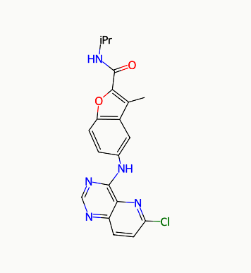 Cc1c(C(=O)NC(C)C)oc2ccc(Nc3ncnc4ccc(Cl)nc34)cc12